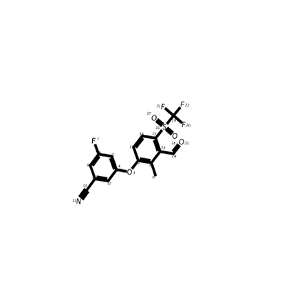 Cc1c(Oc2cc(F)cc(C#N)c2)ccc(S(=O)(=O)C(F)(F)F)c1C=O